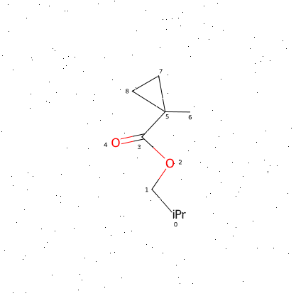 CC(C)COC(=O)C1(C)CC1